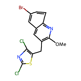 COc1nc2ccc(Br)cc2cc1Cc1sc(Cl)nc1Cl